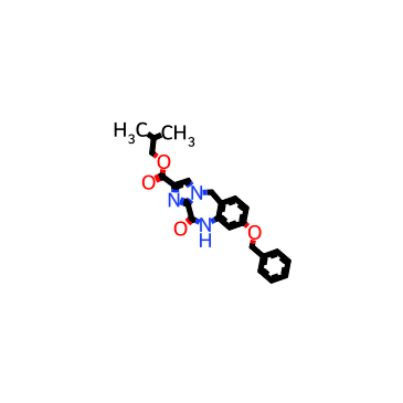 CC(C)COC(=O)c1cn2c(n1)C(=O)Nc1cc(OCc3ccccc3)ccc1C2